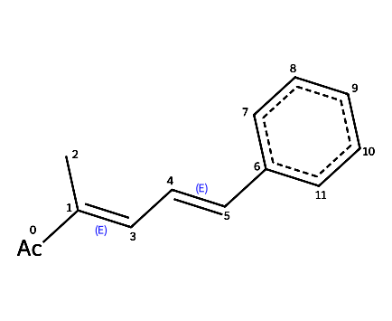 CC(=O)/C(C)=C/C=C/c1ccccc1